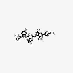 CC(=O)c1nn(CC(=O)N2C[C@H]3C[C@H]3[C@H]2C(=O)Nc2nc(Br)ccc2CN(C)C)c2c(C)nc(-c3cnc(C)nc3)cc12